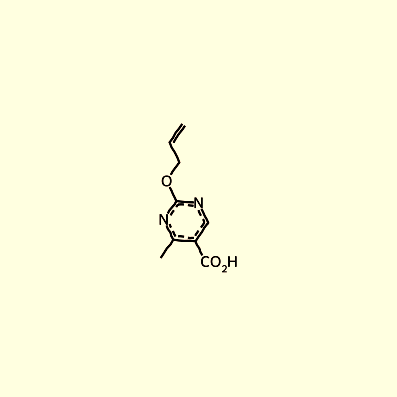 C=CCOc1ncc(C(=O)O)c(C)n1